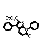 CCOC(=O)c1sc2c(ccc(=O)n2-c2ccccc2)c1-c1ccccc1